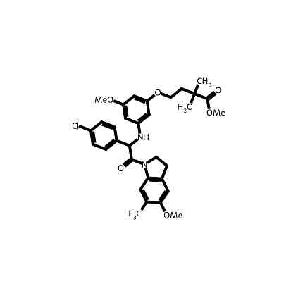 COC(=O)C(C)(C)CCOc1cc(NC(C(=O)N2CCc3cc(OC)c(C(F)(F)F)cc32)c2ccc(Cl)cc2)cc(OC)c1